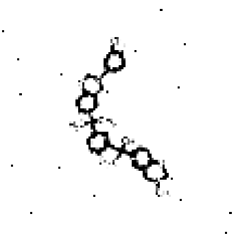 Cc1cccc(N2COc3ccc(C(C)(C)c4cccc(C(C)(C)c5ccc6c(c5)CN(C)CO6)c4)cc3C2)c1